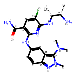 CC[C@@H](Nc1nc(Nc2ccc3nn(C)c(N(C)C)c3c2)c(C(N)=O)cc1F)[C@H](C)N